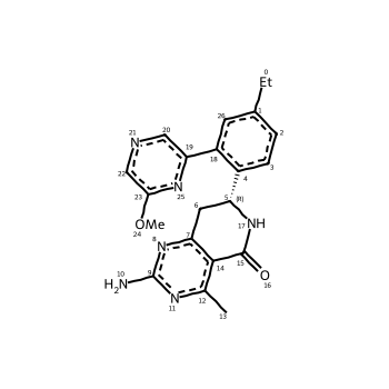 CCc1ccc([C@H]2Cc3nc(N)nc(C)c3C(=O)N2)c(-c2cncc(OC)n2)c1